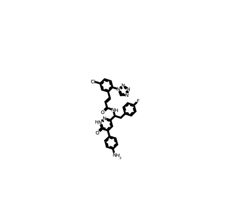 Nc1ccc(-c2cc(C(Cc3ccc(F)cc3)NC(=O)/C=C/c3cc(Cl)ccc3-n3cnnn3)n[nH]c2=O)cc1